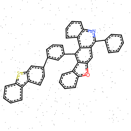 c1ccc(-c2nc3ccccc3c3c(-c4cccc(-c5ccc6c(c5)sc5ccccc56)c4)c4c(cc23)oc2ccccc24)cc1